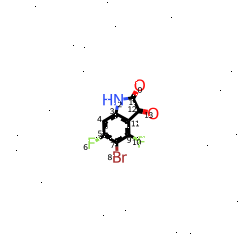 O=C1Nc2cc(F)c(Br)c(F)c2C1=O